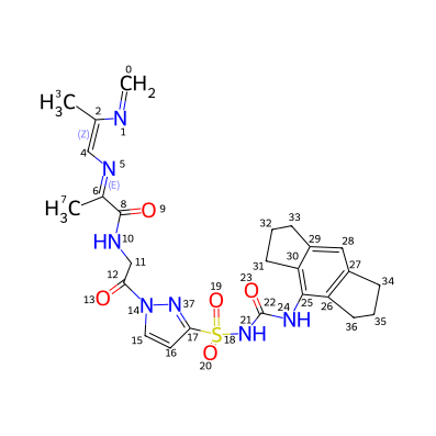 C=N/C(C)=C\N=C(/C)C(=O)NCC(=O)n1ccc(S(=O)(=O)NC(=O)Nc2c3c(cc4c2CCC4)CCC3)n1